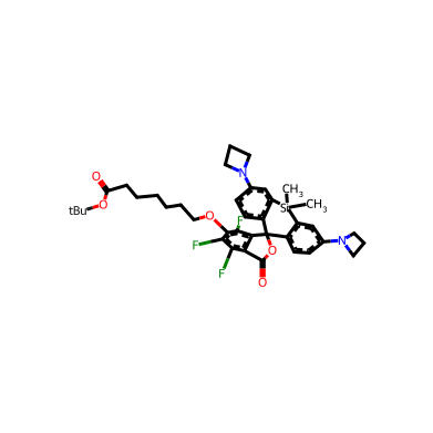 CC(C)(C)OC(=O)CCCCCCOc1c(F)c(F)c2c(c1F)C1(OC2=O)c2ccc(N3CCC3)cc2[Si](C)(C)c2cc(N3CCC3)ccc21